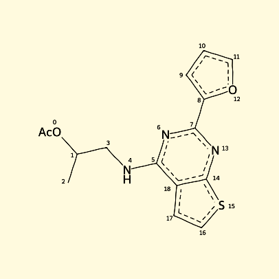 CC(=O)OC(C)CNc1nc(-c2ccco2)nc2sccc12